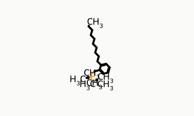 CCCCCCCCCCc1ccccc1CP(C(C)(C)C)C(C)(C)C